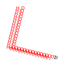 O.O.O.O.O.O.O.O.O.O.O.O.O.O.O.O.O.O.O.O.O.O.O.O.O.O.O.O.O.[Zr]